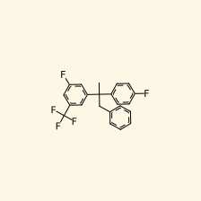 CC(Cc1ccccc1)(c1ccc(F)cc1)c1cc(F)cc(C(F)(F)F)c1